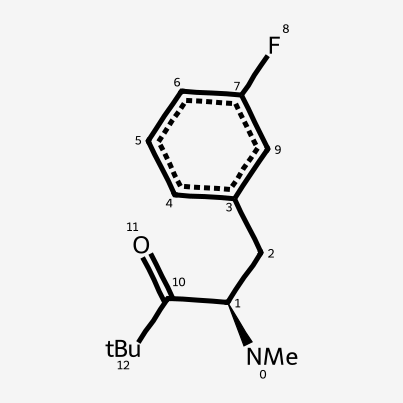 CN[C@H](Cc1cccc(F)c1)C(=O)C(C)(C)C